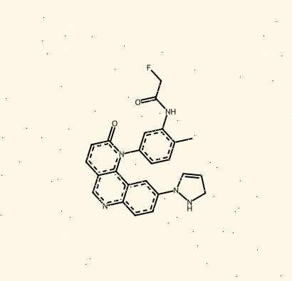 Cc1ccc(-n2c(=O)ccc3cnc4ccc(N5C=CCN5)cc4c32)cc1NC(=O)CF